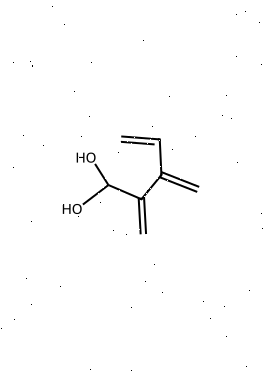 C=CC(=C)C(=C)C(O)O